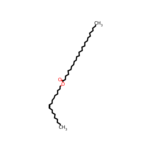 CCCCCCCC/C=C\CCCCCCCCOC(=O)CCCCCCCCCCCCCCCCCCCCCCCC